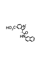 Cn1cc([CH]C(=O)Nc2ccc3ccccc3c2)c2cc(C(=O)O)ccc21